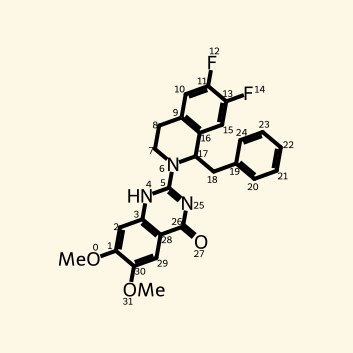 COc1cc2[nH]c(N3CCc4cc(F)c(F)cc4C3Cc3ccccc3)nc(=O)c2cc1OC